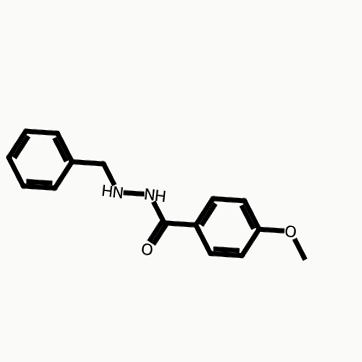 COc1ccc(C(=O)NNCc2ccccc2)cc1